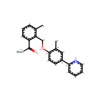 COC(=O)c1cccc(C)c1COc1ccc(-c2ccccn2)cc1C